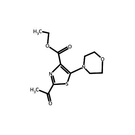 CCOC(=O)c1nc(C(C)=O)sc1N1CCOCC1